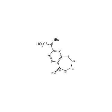 CC(C)(C)N(C(=O)O)c1ccc2c(c1)CCCCC2=O